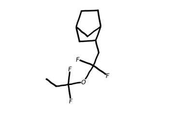 CCC(F)(F)OC(F)(F)CC1CC2CCC1C2